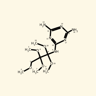 COCC(OC)(OC)C(Nc1nc(N)nc(N)n1)(OC)OC